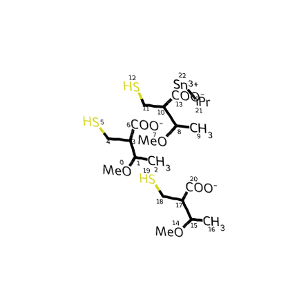 COC(C)C(CS)C(=O)[O-].COC(C)C(CS)C(=O)[O-].COC(C)C(CS)C(=O)[O-].C[CH](C)[Sn+3]